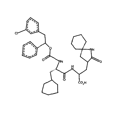 O=C(N[C@@H](CC1CCCCC1)C(=O)NC(CC1CC2(CCCCC2)NC1=O)C(=O)O)OC(Cc1cccc(Cl)c1)c1ccccc1